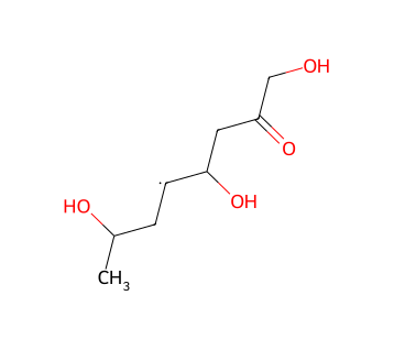 CC(O)C[CH]C(O)CC(=O)CO